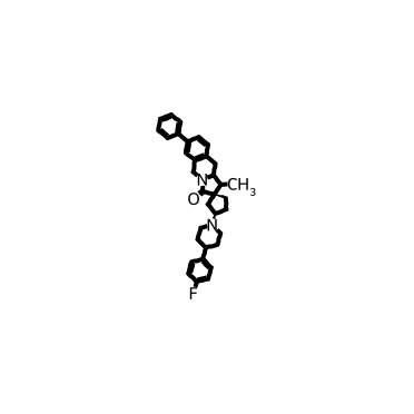 CC1C2Cc3ccc(-c4ccccc4)cc3CN2C(=O)[C@]12CC[C@@H](N1CCC(c3ccc(F)cc3)CC1)C2